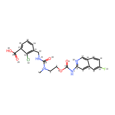 CN(CCOC(=O)Nc1cc2cc(F)ccc2cn1)C(=O)NCc1cccc(C(=O)O)c1Cl